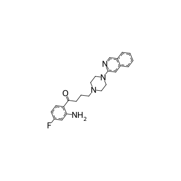 Nc1cc(F)ccc1C(=O)CCCN1CCN(c2cc3ccccc3cn2)CC1